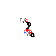 O=C(/C=C/c1cccc(COC(F)(F)F)c1)ONS(=O)(=O)c1ccccc1